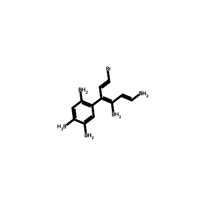 B/C=C/C(B)=C(\C=C\Br)c1cc(B)c(B)cc1B